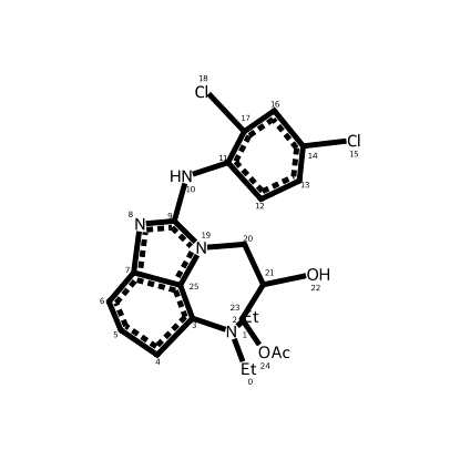 CCN(CC)c1cccc2nc(Nc3ccc(Cl)cc3Cl)n(CC(O)COC(C)=O)c12